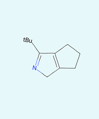 CC(C)(C)C1=NCC2=C1CCC2